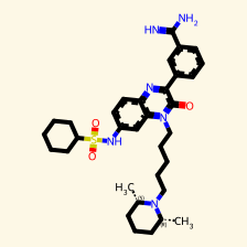 C[C@@H]1CCC[C@H](C)N1CCCCCn1c(=O)c(-c2cccc(C(=N)N)c2)nc2ccc(NS(=O)(=O)C3CCCCC3)cc21